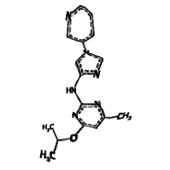 Cc1cc(OC(C)C)nc(Nc2cn(-c3cccnc3)cn2)n1